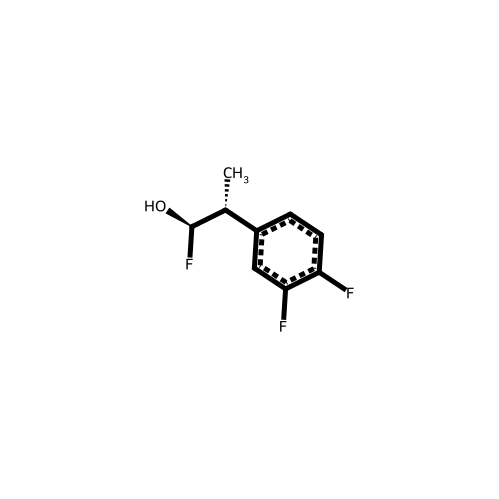 C[C@H](c1ccc(F)c(F)c1)[C@H](O)F